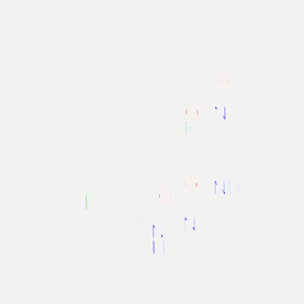 O=C(Nc1ccc(N2CCOCC2=O)c(F)c1)C1C=CCN1C(=O)Nc1ccc(Cl)cc1